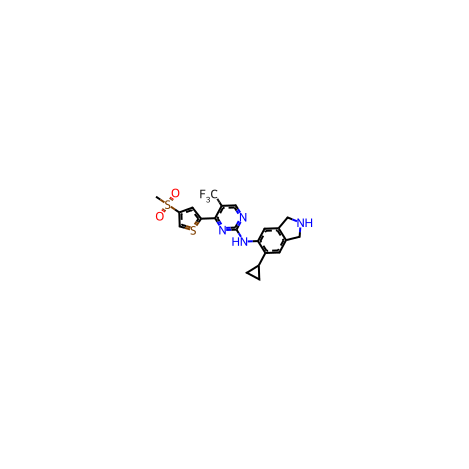 CS(=O)(=O)c1csc(-c2nc(Nc3cc4c(cc3C3CC3)CNC4)ncc2C(F)(F)F)c1